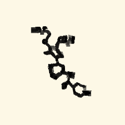 Cc1c(-c2cccc(NC(=O)C3CCNCC3)c2)sc(C(=O)O)c1OCC(=O)O